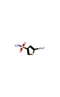 CCCCCc1cc(S(N)(=O)=O)cs1